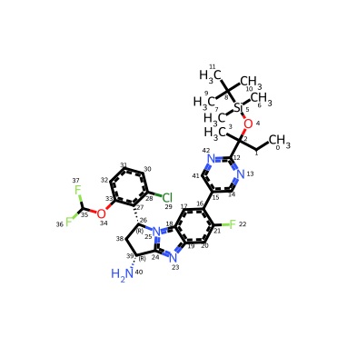 CCC(C)(O[Si](C)(C)C(C)(C)C)c1ncc(-c2cc3c(cc2F)nc2n3[C@@H](c3c(Cl)cccc3OC(F)F)C[C@H]2N)cn1